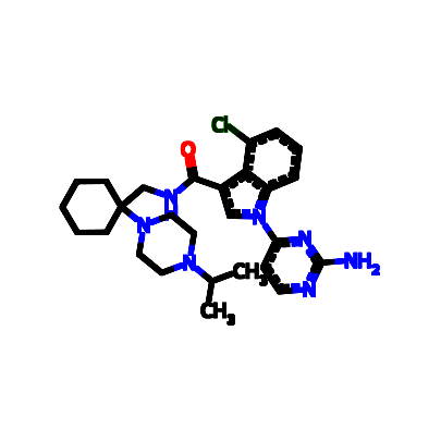 CC(C)N1CCN(C2(CNC(=O)c3cn(-c4ccnc(N)n4)c4cccc(Cl)c34)CCCCC2)CC1